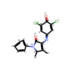 CC1=C(N=C2C=C(Cl)C(=O)C(Cl)=C2)C(=O)N(c2ccccc2)C1C